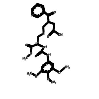 COC(=O)[C@@H](CSCC(CC(=O)O)C(=O)c1cccnc1)NC(=O)Nc1cc(OC)c(OC)c(OC)c1